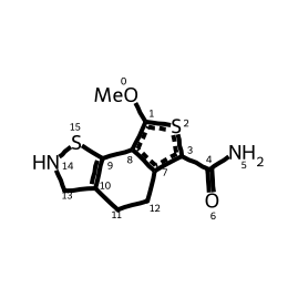 COc1sc(C(N)=O)c2c1C1=C(CC2)CNS1